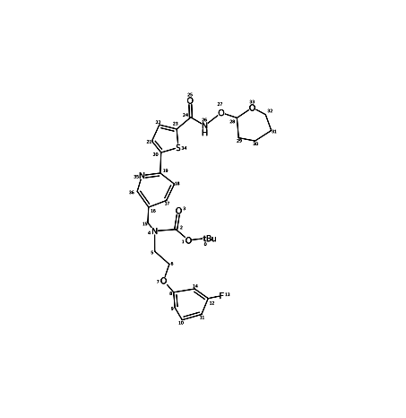 CC(C)(C)OC(=O)N(CCOc1cccc(F)c1)Cc1ccc(-c2ccc(C(=O)NOC3CCCCO3)s2)nc1